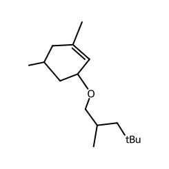 CC1=CC(OCC(C)CC(C)(C)C)CC(C)C1